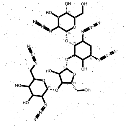 [N-]=[N+]=NCC1O[C@H](OC2C(O)[C@H](OC3C(O)[C@H](N=[N+]=[N-])CC(N=[N+]=[N-])[C@H]3O[C@H]3OC(CO)[C@@H](O)C(O)C3N=[N+]=[N-])O[C@@H]2CO)C(N=[N+]=[N-])C(O)C1O